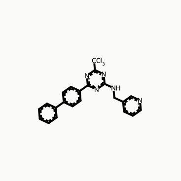 ClC(Cl)(Cl)c1nc(NCc2cccnc2)nc(-c2ccc(-c3ccccc3)cc2)n1